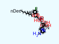 CCCCCCCCCCCCCCCCCCOC[C@H](COP(=O)(O)OC[C@H]1O[C@@](C#N)(c2ccc3c(N)ccnn23)[C@H](O)[C@@H]1O)Oc1cc(F)cc(C#N)c1